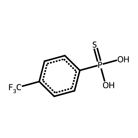 OP(O)(=S)c1ccc(C(F)(F)F)cc1